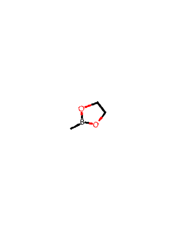 CB1OCCO1